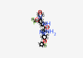 Cc1cc(Oc2ccccc2F)ccc1-n1ncc(C(=O)c2cc3cc(OC(F)F)c(N4CCOCC4)cc3[nH]2)c1N